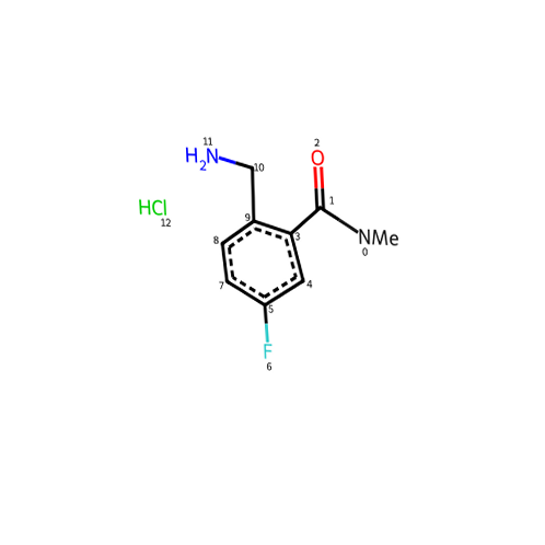 CNC(=O)c1cc(F)ccc1CN.Cl